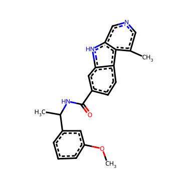 COc1cccc(C(C)NC(=O)c2ccc3c(c2)[nH]c2cncc(C)c23)c1